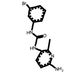 Cc1nc(N)ccc1NC(=O)Nc1cccc(Br)c1